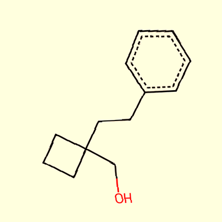 OCC1(CCc2ccccc2)CCC1